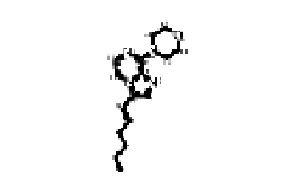 CCCCC=Cc1cnc2c(N3CCOCC3)nccn12